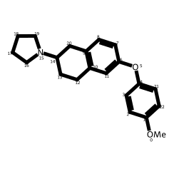 COc1ccc(Oc2ccc3c(c2)CCC(N2CCCC2)C3)cc1